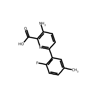 Cc1ccc(F)c(-c2ccc(N)c(C(=O)O)n2)c1